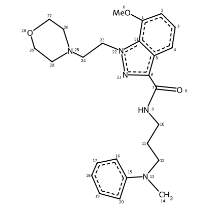 COc1cccc2c(C(=O)NCCCN(C)c3ccccc3)nn(CCN3CCOCC3)c12